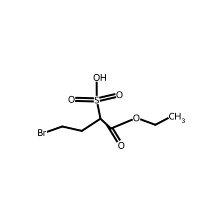 CCOC(=O)C(CCBr)S(=O)(=O)O